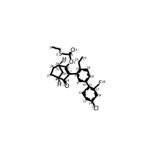 CCSC(=O)OC1=C(c2cc(-c3ccc(Cl)cc3F)ccc2CC)C(=O)[C@@H]2CC[C@H]1C2